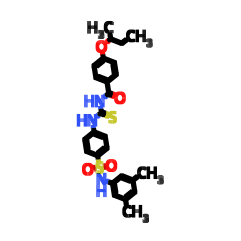 CCC(C)Oc1ccc(C(=O)NC(=S)Nc2ccc(S(=O)(=O)Nc3cc(C)cc(C)c3)cc2)cc1